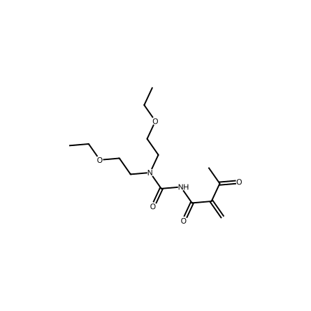 C=C(C(C)=O)C(=O)NC(=O)N(CCOCC)CCOCC